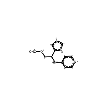 O=COCC(Nc1ccncc1)c1cscn1